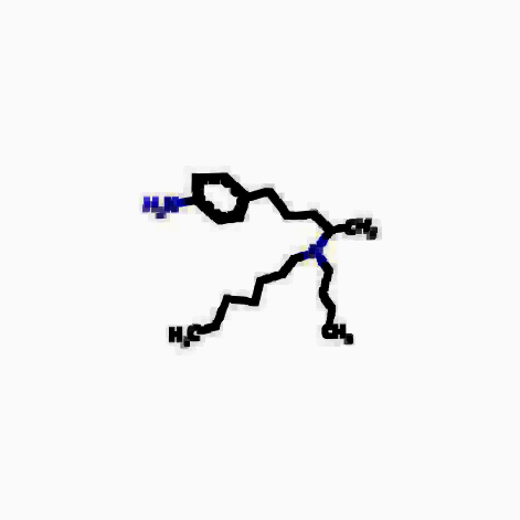 CCCCCCCN(CCCC)C(C)CCCc1ccc(N)cc1